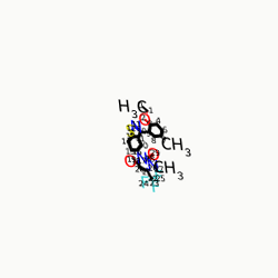 CCOc1ccc(C)cc1-c1nsc2ccc(-n3c(=O)cc(C(F)(F)F)n(C)c3=O)cc12